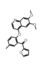 COc1cc2nccc(Oc3ccc(C)cc3C(=O)c3ccco3)c2cc1OC